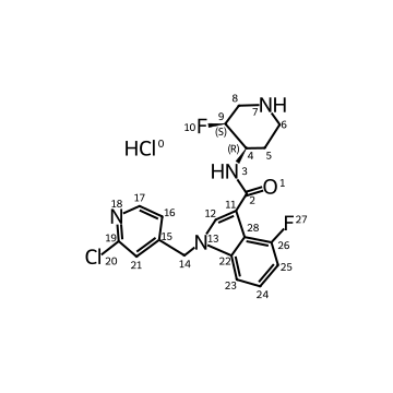 Cl.O=C(N[C@@H]1CCNC[C@@H]1F)c1cn(Cc2ccnc(Cl)c2)c2cccc(F)c12